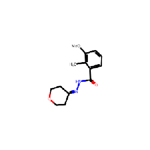 COc1cccc(C(=O)NN=C2CCOCC2)c1C